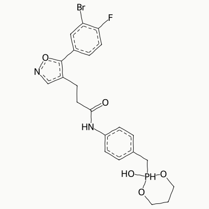 O=C(CCc1cnoc1-c1ccc(F)c(Br)c1)Nc1ccc(C[PH]2(O)OCCCO2)cc1